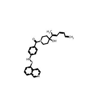 C=C/C=C\C=C(/C)C1(O)CCN(C(=O)c2ccc(NSc3cccc4cnccc34)cc2)CC1